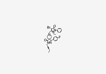 CCC#CCN1N=C(c2ccc(F)cc2)C2(CCN(Cc3c(Br)c(=O)n(-c4ccccc4)n3CC)CC2)C1=O